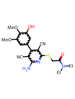 CCN(CC)C(=O)CSc1nc(N)c(C#N)c(-c2cc(O)c(OC)c(OC)c2)c1C#N